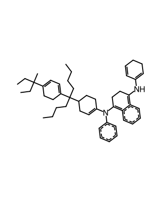 CCCCC(CCCC)(C1=CC=C(C(C)(CC)CC)CC1)C1CC=C(N(C2=c3ccccc3=C(NC3=CCCC=C3)CC2)c2ccccc2)CC1